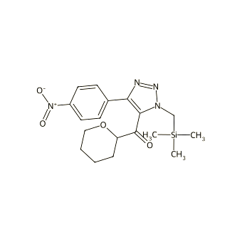 C[Si](C)(C)Cn1nnc(-c2ccc([N+](=O)[O-])cc2)c1C(=O)C1CCCCO1